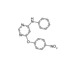 O=[N+]([O-])c1ccc(Oc2cc(Nc3ccccc3)ncn2)cc1